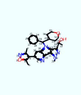 Cc1noc(C)c1-c1cnc2c3c(c(C(C)(C)O)nn3C)n(C(c3ccccc3)C3CCOCC3)c2c1